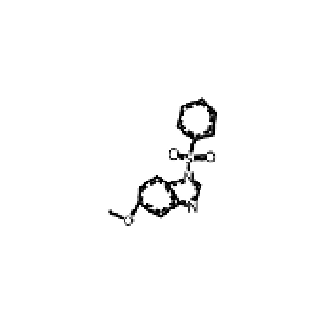 COc1ccc2c(c1)ncn2S(=O)(=O)c1ccccc1